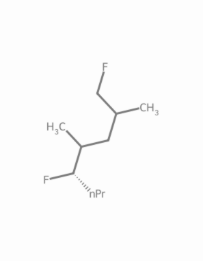 CCC[C@H](F)C(C)CC(C)CF